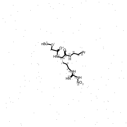 CCCCOCC(=O)N[C@@H](CCCNC(=N)N[N+](=O)[O-])C(=O)NCCC(C)C